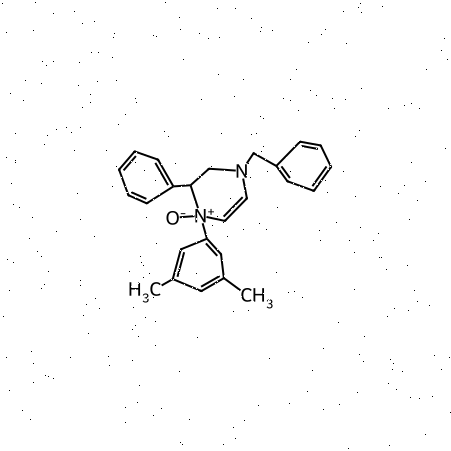 Cc1cc(C)cc([N+]2([O-])C=CN(Cc3ccccc3)CC2c2ccccc2)c1